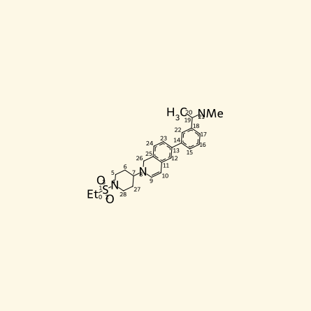 CCS(=O)(=O)N1CCC(N2C=Cc3cc(-c4cccc(C(C)NC)c4)ccc3C2)CC1